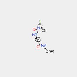 COCCNC(=O)C12CCC(NCC(=O)N3C[C@@H](F)C[C@H]3C#N)(CC1)CC2